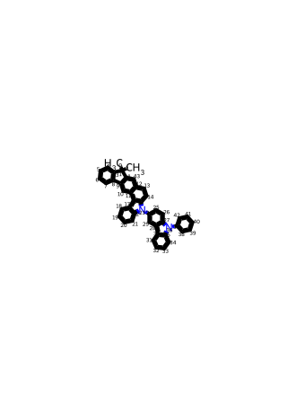 CC1(C)c2ccccc2-c2cc3c(ccc4c3c3ccccc3n4-c3ccc4c(c3)c3ccccc3n4-c3ccccc3)cc21